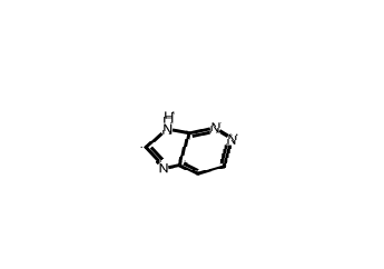 [c]1nc2ccnnc2[nH]1